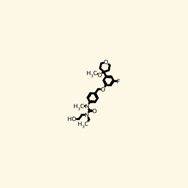 CCN(CCO)C(=O)N(C)c1ccc(COc2cc(F)cc(C3(OC)CCOCC3)c2)cc1